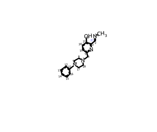 C/N=C/c1nc(CN2CCN(c3ccccc3)CC2)ccc1O